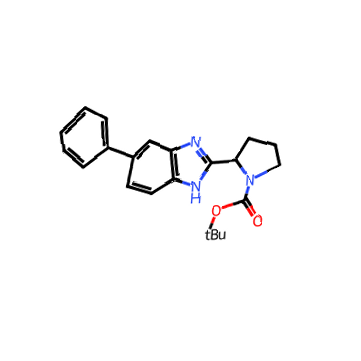 CC(C)(C)OC(=O)N1CCCC1c1nc2cc(-c3ccccc3)ccc2[nH]1